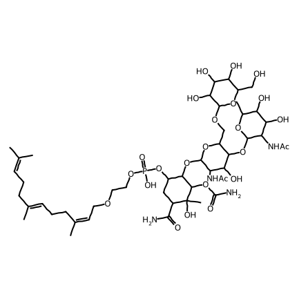 CC(=O)NC1C(OC2C(COC3OC(CO)C(O)C(O)C3O)OC(OC3C(OP(=O)(O)OCCOC/C=C(/C)CC/C=C(\C)CCC=C(C)C)CC(C(N)=O)C(C)(O)C3OC(N)=O)C(NC(C)=O)C2O)OC(C)C(O)C1O